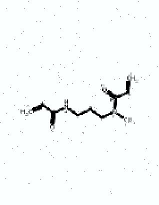 C=CC(=O)NCCCN(C)C(=O)C=C